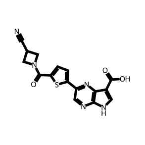 N#CC1CN(C(=O)c2ccc(-c3cnc4[nH]cc(C(=O)O)c4n3)s2)C1